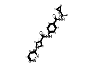 C[C@@H](NC(=O)c1ccc(NC(=O)C2CN(c3cccnn3)C2)cc1)C1CC1